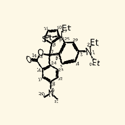 CCN(CC)c1ccc(C2(c3cccs3)OC(=O)c3cc(N(C)C)ccc32)c(N(CC)CC)c1